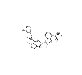 Cc1nc2c(C(N)=O)cccn2c1-c1nc2c(c(NCc3cccc(F)c3)n1)N(C)CC2